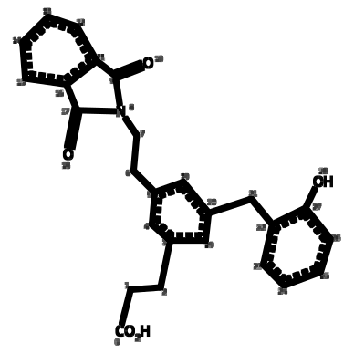 O=C(O)CCc1cc(CCN2C(=O)c3ccccc3C2=O)cc(Cc2ccccc2O)c1